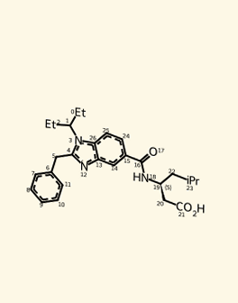 CCC(CC)n1c(Cc2ccccc2)nc2cc(C(=O)N[C@H](CC(=O)O)CC(C)C)ccc21